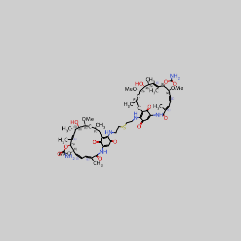 CO[C@H]1/C=C\C=C(/C)C(=O)NC2=CC(=O)C(NCCSCCNC3=C4C[C@@H](C)C[C@H](OC)[C@H](O)[C@@H](C)/C=C(\C)[C@H](OC(N)=O)[C@@H](OC)/C=C\C=C(/C)C(=O)NC(=CC3=O)C4=O)=C(C[C@@H](C)C[C@H](OC)[C@H](O)[C@@H](C)/C=C(\C)[C@@H]1OC(N)=O)C2=O